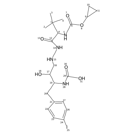 CC(C)(C)C(NC(=O)OC1CC1)C(=O)NNCC(O)C(Cc1ccc(I)cc1)NC(=O)O